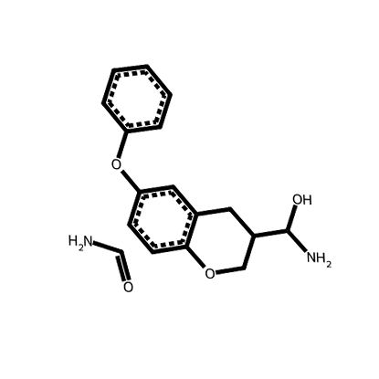 NC(O)C1COc2ccc(Oc3ccccc3)cc2C1.NC=O